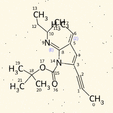 CC#CC1=CC(=C/C)/C(=N\C(C)CC)N1C(=O)OC(C)(C)C